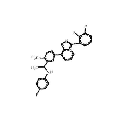 C=C(Nc1ccc(F)cc1)c1cc(-c2cccn3c(-c4cccc(F)c4F)ncc23)ccc1C(F)(F)F